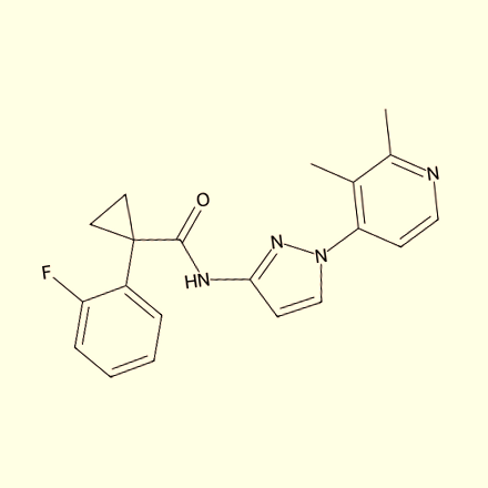 Cc1nccc(-n2ccc(NC(=O)C3(c4ccccc4F)CC3)n2)c1C